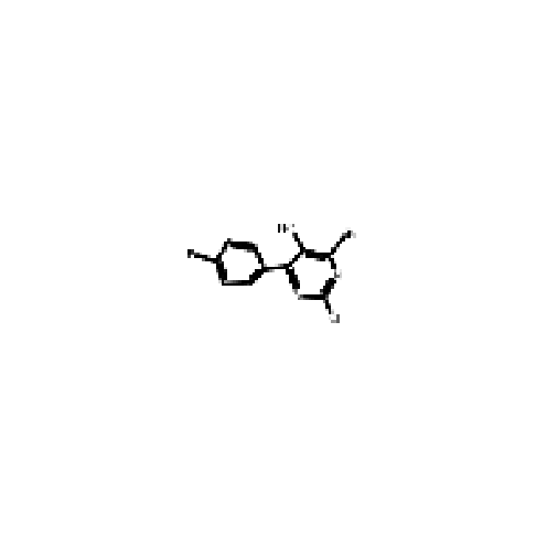 CC(C)c1nc(Cl)nc(-c2ccc(F)cc2)c1C#N